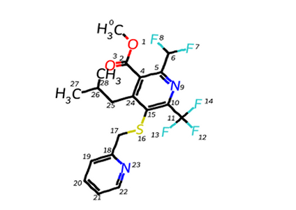 COC(=O)c1c(C(F)F)nc(C(F)(F)F)c(SCc2ccccn2)c1CC(C)C